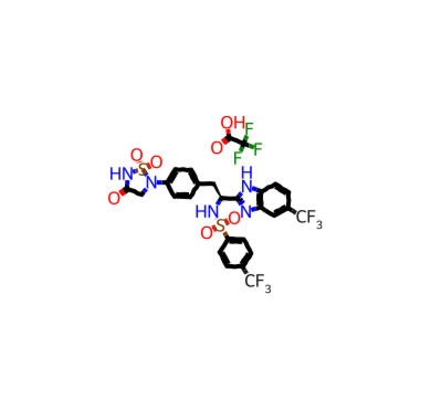 O=C(O)C(F)(F)F.O=C1CN(c2ccc(C[C@H](NS(=O)(=O)c3ccc(C(F)(F)F)cc3)c3nc4cc(C(F)(F)F)ccc4[nH]3)cc2)S(=O)(=O)N1